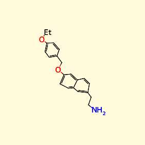 CCOc1ccc(COc2ccc3cc(CCN)ccc3c2)cc1